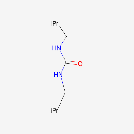 CC(C)CNC(=O)NCC(C)C